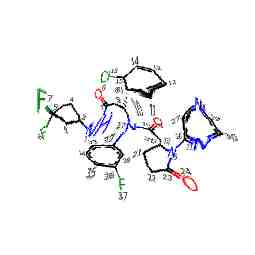 O=C(NC1CC(F)(F)C1)C([C@H]1C=CC=CC1Cl)N(C(=O)[C@@H]1CCC(=O)N1c1cnccn1)c1cccc(F)c1